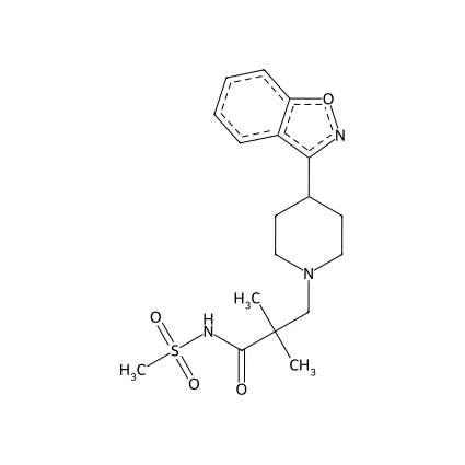 CC(C)(CN1CCC(c2noc3ccccc23)CC1)C(=O)NS(C)(=O)=O